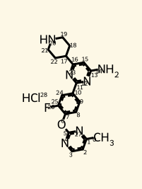 Cc1ccnc(Oc2ccc(-c3nc(N)cc(C4CCNCC4)n3)cc2F)n1.Cl